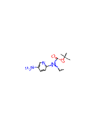 CCN(C(=O)OC(C)(C)C)c1ccc(N)cn1